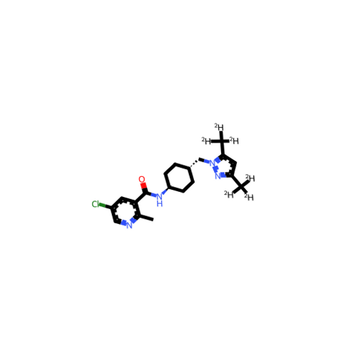 [2H]C([2H])([2H])c1cc(C([2H])([2H])[2H])n(C[C@H]2CC[C@H](NC(=O)c3cc(Cl)cnc3C)CC2)n1